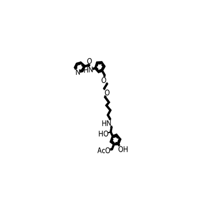 CC(=O)OCc1cc([C@@H](O)CNCCCCCCOCCOCc2cccc(NC(=O)c3cccnc3)c2)ccc1O